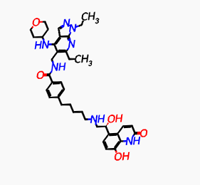 CCc1nc2c(cnn2CC)c(NC2CCOCC2)c1CNC(=O)c1ccc(CCCCCNC[C@H](O)c2ccc(O)c3[nH]c(=O)ccc23)cc1